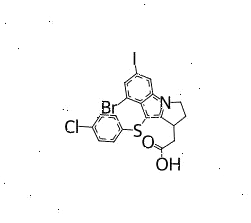 O=C(O)CC1CCn2c1c(Sc1ccc(Cl)cc1)c1c(Br)cc(I)cc12